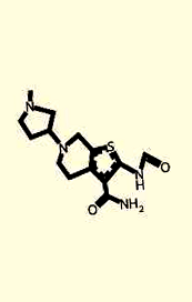 CN1CCC(N2CCc3c(sc(NC=O)c3C(N)=O)C2)C1